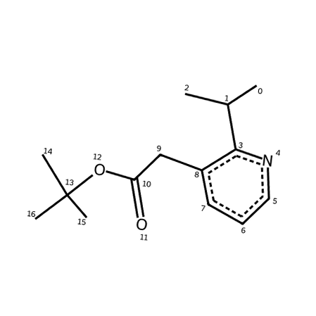 CC(C)c1ncccc1CC(=O)OC(C)(C)C